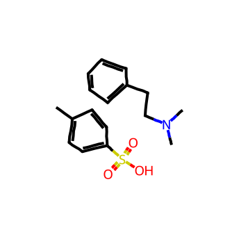 CN(C)CCc1ccccc1.Cc1ccc(S(=O)(=O)O)cc1